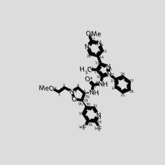 COCCN1C[C@H](NC(=O)Nc2c(C)c(-c3cnc(OC)nc3)nn2-c2ccccc2)[C@@H](c2cnc(F)c(F)c2)O1